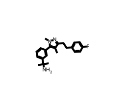 Cc1c(CCc2ccc(F)cc2)nn(C)c1-c1cccc(C(C)(C)N)c1